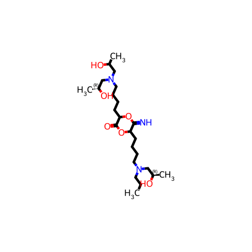 CCCN(CCCCC1OC(=O)C(CCCCN(CC(C)O)C[C@@H](C)O)OC1=N)C[C@@H](C)O